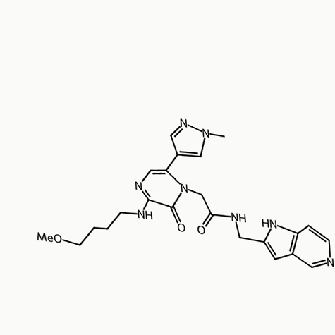 COCCCCNc1ncc(-c2cnn(C)c2)n(CC(=O)NCc2cc3cnccc3[nH]2)c1=O